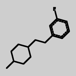 CC1CCC(CCc2cccc(F)c2)CC1